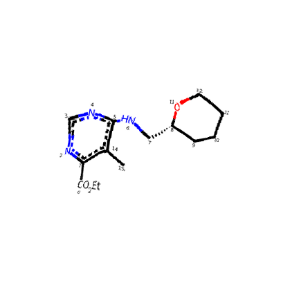 CCOC(=O)c1ncnc(NC[C@H]2CCCCO2)c1C